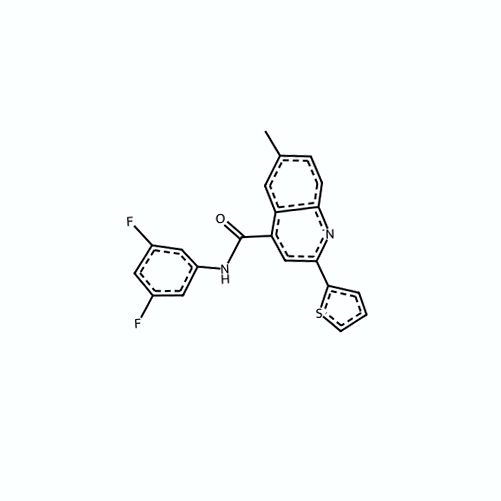 Cc1ccc2nc(-c3cccs3)cc(C(=O)Nc3cc(F)cc(F)c3)c2c1